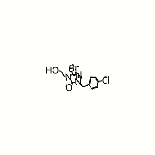 O=c1n(Cc2ccc(Cl)cc2)nc(Br)n1CCO